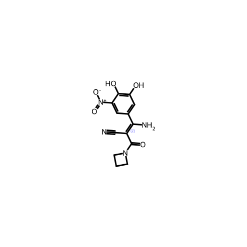 N#C/C(C(=O)N1CCC1)=C(/N)c1cc(O)c(O)c([N+](=O)[O-])c1